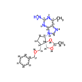 Cc1nc(N)nc2c1ncn2[C@H]1CC[C@@H](COCc2ccccc2)[C@@]12COC(C)O2